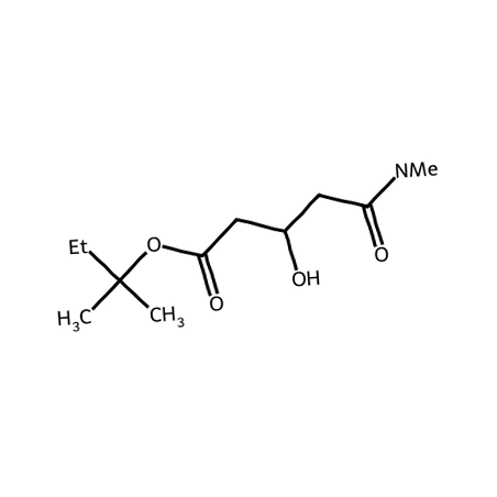 CCC(C)(C)OC(=O)CC(O)CC(=O)NC